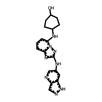 OC1CCC(Nc2cccc3nc(Nc4cnc5cn[nH]c5c4)nn23)CC1